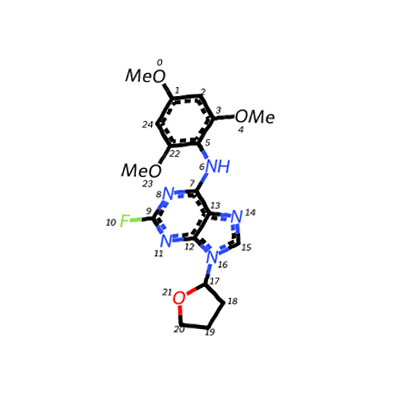 COc1cc(OC)c(Nc2nc(F)nc3c2ncn3C2CCCO2)c(OC)c1